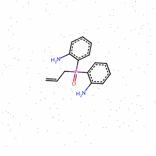 C=CCP(=O)(c1ccccc1N)c1ccccc1N